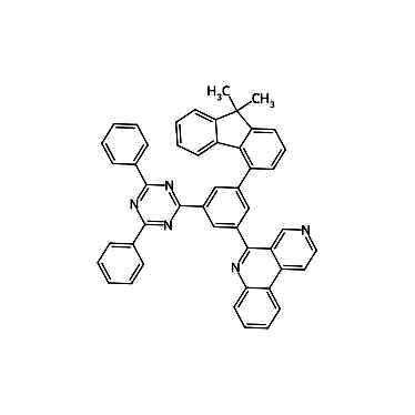 CC1(C)c2ccccc2-c2c(-c3cc(-c4nc(-c5ccccc5)nc(-c5ccccc5)n4)cc(-c4nc5ccccc5c5ccncc45)c3)cccc21